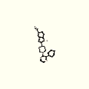 [C-]#[N+]c1ccc2[nH]c(C3CCN(c4nccnc4-c4ccccc4)CC3)nc2c1